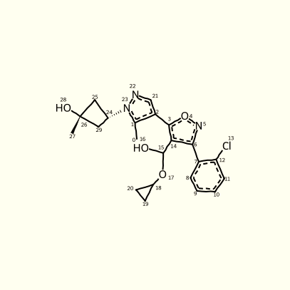 Cc1c(-c2onc(-c3ccccc3Cl)c2C(O)OC2CC2)cnn1[C@H]1C[C@@](C)(O)C1